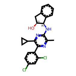 Cc1nc(-c2ccc(Cl)cc2Cl)c(C2CC2)nc1N[C@@H]1c2ccccc2C[C@@H]1O